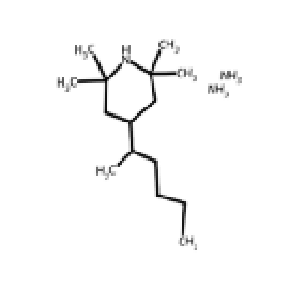 CCCCC(C)C1CC(C)(C)NC(C)(C)C1.N.N